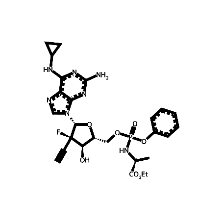 C#C[C@@]1(F)[C@H](O)[C@@H](COP(=O)(N[C@@H](C)C(=O)OCC)Oc2ccccc2)O[C@H]1n1cnc2c(NC3CC3)nc(N)nc21